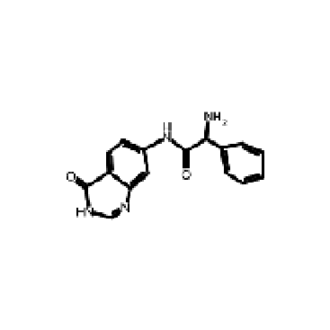 NC(C(=O)Nc1ccc2c(=O)[nH]cnc2c1)c1ccccc1